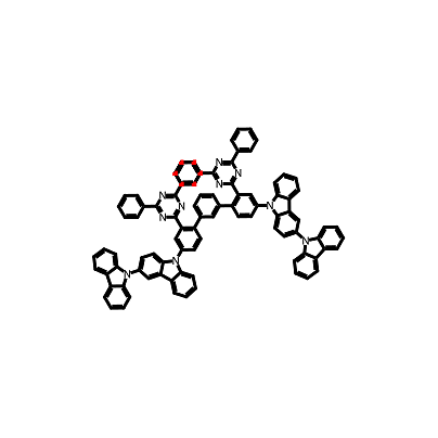 c1ccc(-c2nc(-c3ccccc3)nc(-c3cc(-n4c5ccccc5c5cc(-n6c7ccccc7c7ccccc76)ccc54)ccc3-c3cccc(-c4ccc(-n5c6ccccc6c6cc(-n7c8ccccc8c8ccccc87)ccc65)cc4-c4nc(-c5ccccc5)nc(-c5ccccc5)n4)c3)n2)cc1